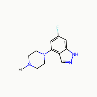 CCN1CCN(c2cc(F)cc3[nH]ncc23)CC1